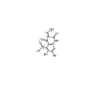 O=C1Nc2cc(Br)c(Br)c([N+](=O)[O-])c2C(=O)/C1=N/O